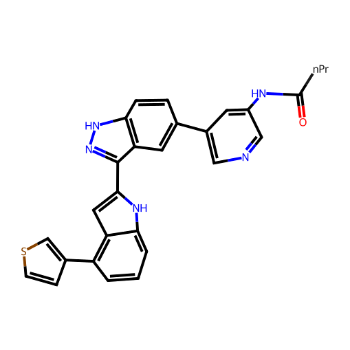 CCCC(=O)Nc1cncc(-c2ccc3[nH]nc(-c4cc5c(-c6ccsc6)cccc5[nH]4)c3c2)c1